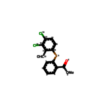 COC(=O)c1ccccc1Sc1ccc(Cl)c(Cl)c1C=O